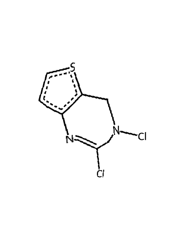 ClC1=Nc2ccsc2CN1Cl